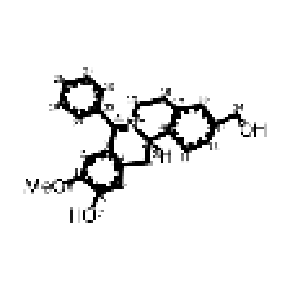 COc1cc2c(cc1O)C[C@H]1c3ccc(CO)cc3CC[N+]1=C2c1ccccc1